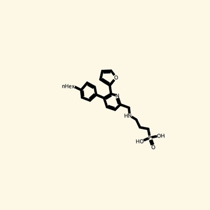 CCCCCCc1ccc(-c2ccc(CNCCCP(=O)(O)O)nc2-c2ccco2)cc1